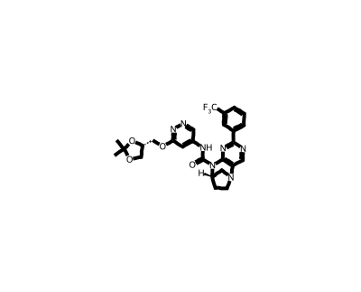 CC1(C)OC[C@@H](COc2cc(NC(=O)N3c4nc(-c5cccc(C(F)(F)F)c5)ncc4N4CC[C@H]3C4)cnn2)O1